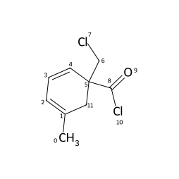 CC1=CC=CC(CCl)(C(=O)Cl)C1